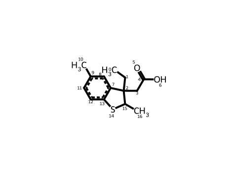 CCC1(CC(=O)O)c2cc(C)ccc2SC1C